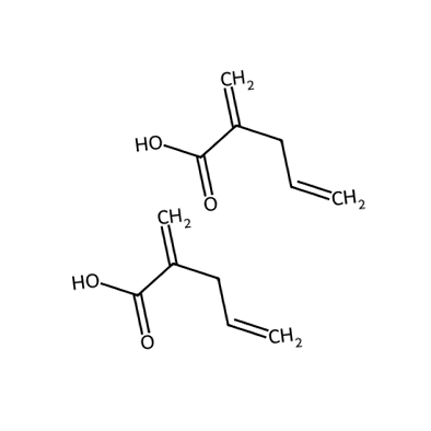 C=CCC(=C)C(=O)O.C=CCC(=C)C(=O)O